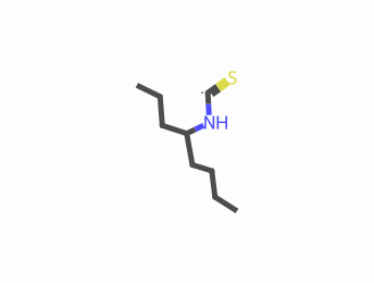 CCCCC(CCC)N[C]=S